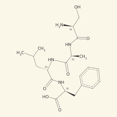 CC(C)C[C@H](NC(=O)[C@H](C)NC(=O)[C@@H](N)CO)C(=O)N[C@@H](Cc1ccccc1)C(=O)O